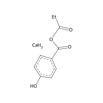 CCC(=O)OC(=O)c1ccc(O)cc1.[CaH2]